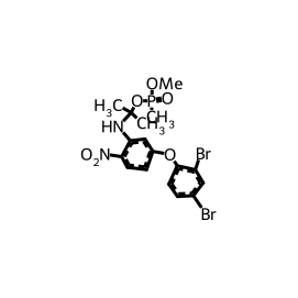 COP(C)(=O)OC(C)(C)Nc1cc(Oc2ccc(Br)cc2Br)ccc1[N+](=O)[O-]